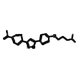 C=C(C)c1ccc(-c2cc(-c3ccc(OCCCC(C)C)cc3)on2)cc1